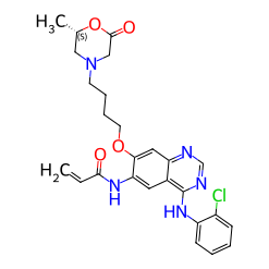 C=CC(=O)Nc1cc2c(Nc3ccccc3Cl)ncnc2cc1OCCCCN1CC(=O)O[C@@H](C)C1